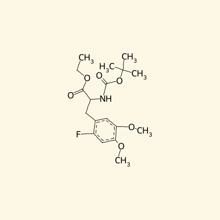 CCOC(=O)C(Cc1cc(OC)c(OC)cc1F)NC(=O)OC(C)(C)C